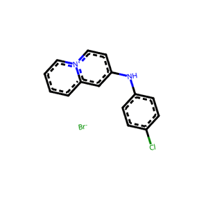 Clc1ccc(Nc2cc[n+]3ccccc3c2)cc1.[Br-]